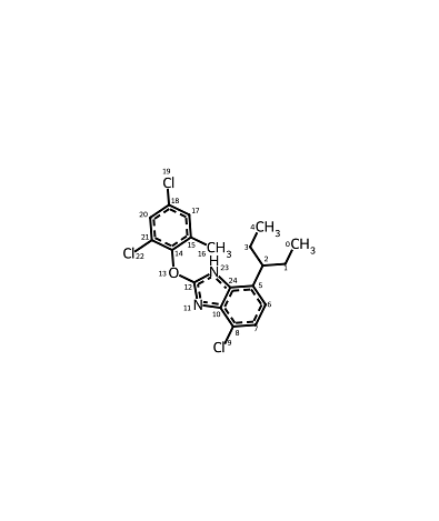 CCC(CC)c1ccc(Cl)c2nc(Oc3c(C)cc(Cl)cc3Cl)[nH]c12